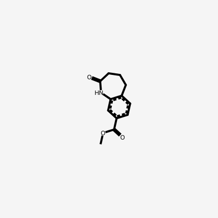 COC(=O)c1ccc2c(c1)NC(=O)CCC2